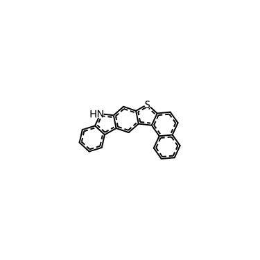 c1ccc2c(c1)ccc1sc3cc4[nH]c5ccccc5c4cc3c12